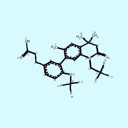 Cc1cc2c(cc1-c1cc(CCC(=O)O)ccc1OC(F)(F)F)N(CC(F)(F)F)C(=O)CC2(C)C